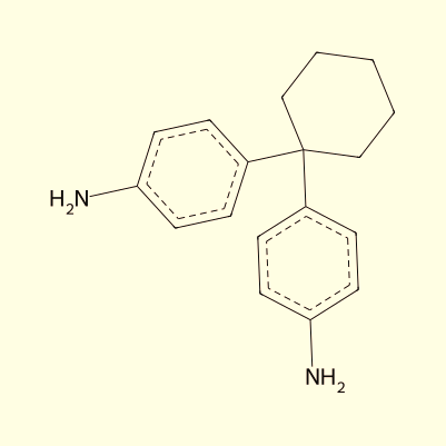 Nc1ccc(C2(c3ccc(N)cc3)CCCCC2)cc1